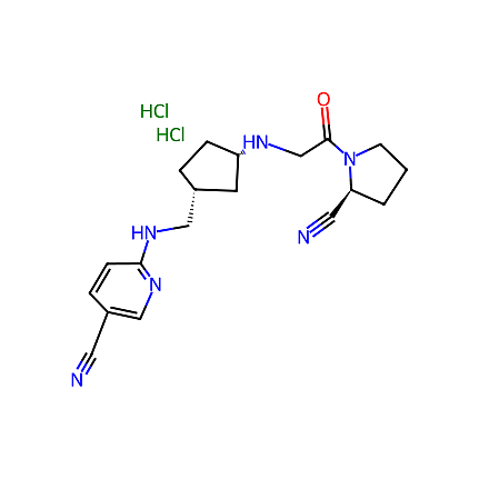 Cl.Cl.N#Cc1ccc(NC[C@@H]2CC[C@H](NCC(=O)N3CCC[C@H]3C#N)C2)nc1